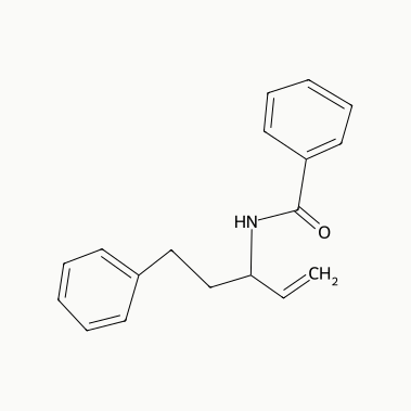 C=CC(CCc1ccccc1)NC(=O)c1ccccc1